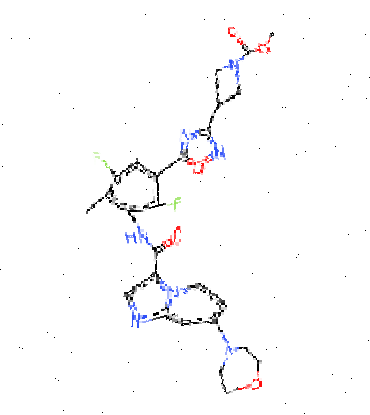 COC(=O)N1CC(c2noc(-c3cc(F)c(C)c(NC(=O)c4cnc5cc(N6CCOCC6)ccn45)c3F)n2)C1